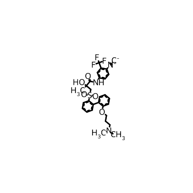 [C-]#[N+]c1ccc(NC(=O)C(C)(O)CS(=O)(=O)c2ccccc2-c2ccccc2OCCCN(C)C)cc1C(F)(F)F